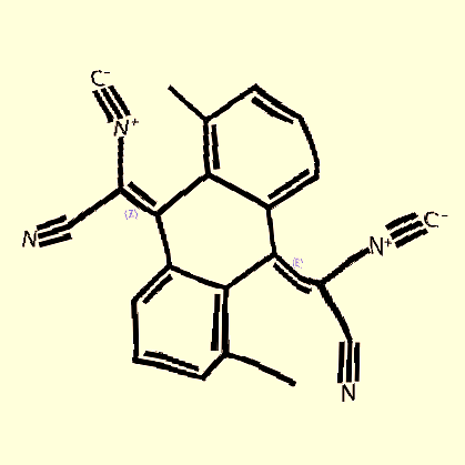 [C-]#[N+]/C(C#N)=c1/c2cccc(C)c2/c(=C(\C#N)[N+]#[C-])c2cccc(C)c12